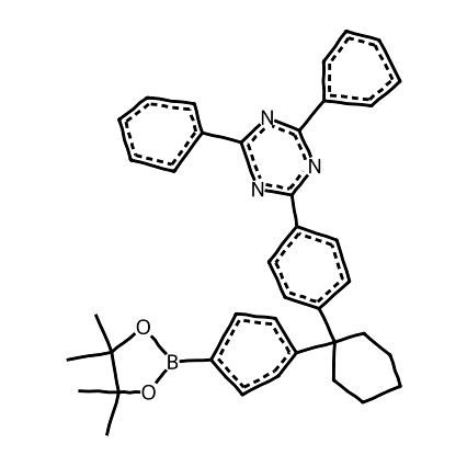 CC1(C)OB(c2ccc(C3(c4ccc(-c5nc(-c6ccccc6)nc(-c6ccccc6)n5)cc4)CCCCC3)cc2)OC1(C)C